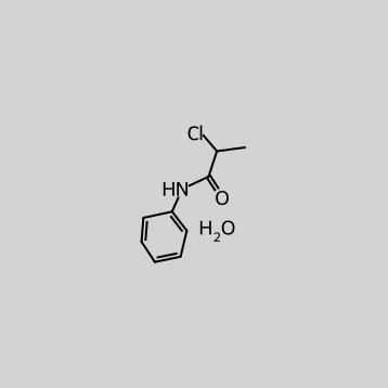 CC(Cl)C(=O)Nc1ccccc1.O